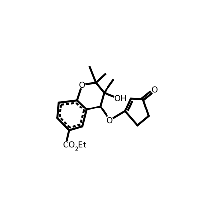 CCOC(=O)c1ccc2c(c1)C(OC1=CC(=O)CC1)C(C)(O)C(C)(C)O2